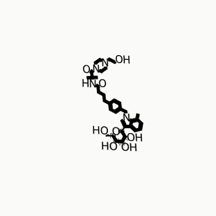 Cc1cccc2c([C@@H]3O[C@H](CO)[C@@H](O)[C@H](O)[C@H]3O)cn(Cc3ccc(CCCC(=O)NC(C)(C)C(=O)N4CCN(CCO)CC4)cc3)c12